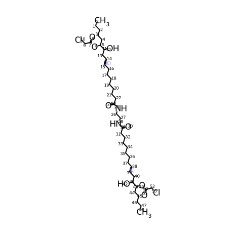 CCCCCC(OC(=O)CCl)C(O)C/C=C/CCCCCCCC(=O)NCCNC(=O)CCCCCCC/C=C/CC(O)C(CCCCC)OC(=O)CCl